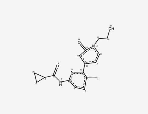 Cc1ccc(NC(=O)C2CC2)nc1-c1ccn(CCO)c(=O)c1